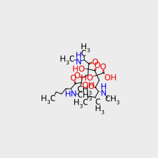 CCCC[C@H](NC)C(=O)C(C)(O)C(=O)CC(O)(C(=O)[C@H](C)NC)C(=O)C(O)(CC(=O)[C@H](NC)C(C)CC)C(=O)O